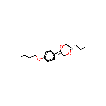 CCCCOc1ccc([C@@H]2CO[C@@H](CCC)CO2)cc1